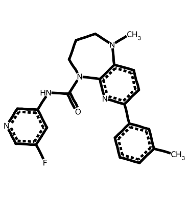 Cc1cccc(-c2ccc3c(n2)N(C(=O)Nc2cncc(F)c2)CCCN3C)c1